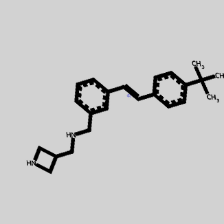 CC(C)(C)c1ccc(/C=C/c2cccc(CNCC3CNC3)c2)cc1